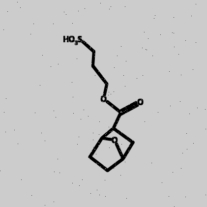 O=C(OCCCS(=O)(=O)O)C1CC2CCC1O2